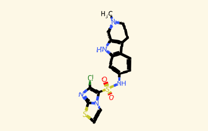 CN1CCc2c([nH]c3cc(NS(=O)(=O)c4c(Cl)nc5sccn45)ccc23)C1